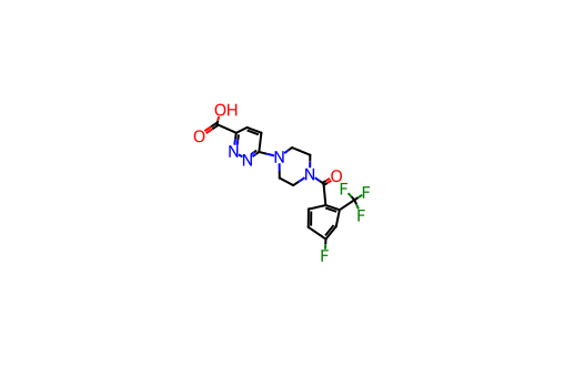 O=C(O)c1ccc(N2CCN(C(=O)c3ccc(F)cc3C(F)(F)F)CC2)nn1